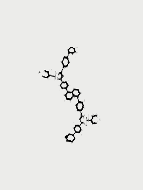 C1=C(c2ccc(-c3cccc4c(-c5ccc(-c6cc(-c7ccc(-c8ccccc8)cc7)nc(-c7ccncc7)n6)cc5)cccc34)cc2)NC(c2ccncc2)N=C1c1ccc(-c2ccccc2)cc1